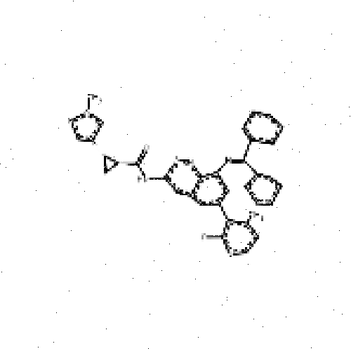 Cc1ccnc(F)c1-c1cc(N=C(c2ccccc2)c2ccccc2)c2nnc(NC(=O)[C@H]3C[C@@H]3c3cnn(C)c3)cc2c1